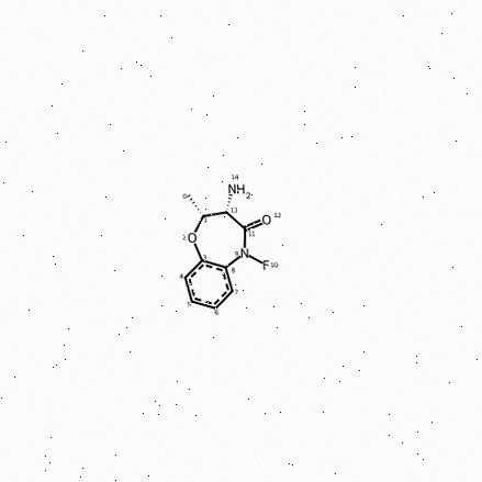 C[C@H]1Oc2ccccc2N(F)C(=O)[C@H]1N